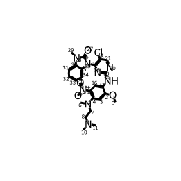 COc1cc(N(C)CCN(C)C)c([N+](=O)[O-])cc1Nc1ncc(Cl)c(-n2c(=O)n(C)c3ccccc32)n1